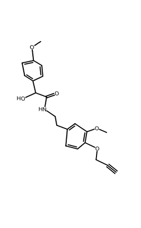 C#CCOc1ccc(CCNC(=O)C(O)c2ccc(OC)cc2)cc1OC